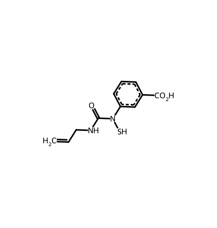 C=CCNC(=O)N(S)c1cccc(C(=O)O)c1